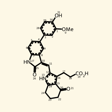 COc1cc(-c2ccc3c(c2)C(=Cc2[nH]c4c(c2CCC(=O)O)C(=O)CCC4)C(=O)N3)ccc1O